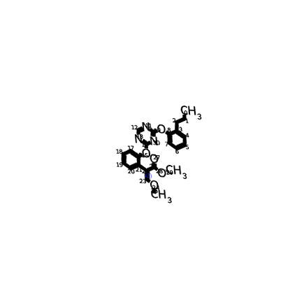 CCCc1ccccc1Oc1ncnc(Oc2ccccc2/C(=C/OC)C(=O)OC)n1